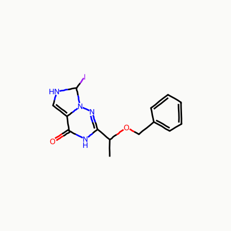 CC(OCc1ccccc1)C1=NN2C(=CNC2I)C(=O)N1